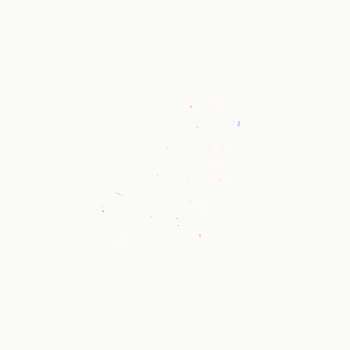 COc1ccc(CCC(C)C)cc1-c1ccc(O)c2c1C[C@H]1C[C@H]3CC(O)=C(C(N)=O)C(=O)[C@@]3(O)C(O)=C1C2=O